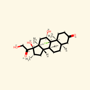 C[C@H]1C[C@H]2[C@@H]3CC[C@@H]4CC(=O)CC[C@]4(C)[C@@]3(F)[C@@H](O)C[C@]2(C)[C@@]1(O)C(=O)CO